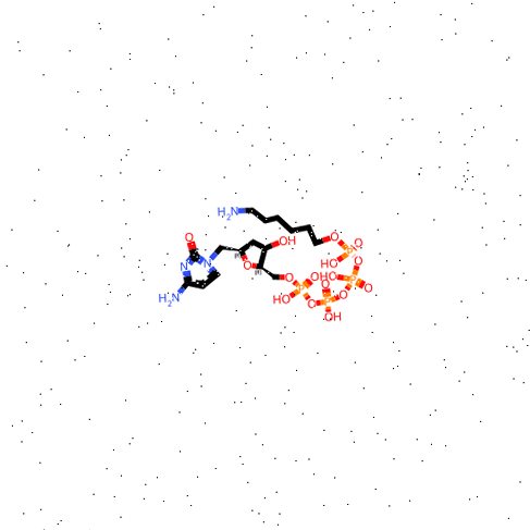 NCCCCCCOP(=O)(O)OP(=O)(O)OP(=O)(O)OP(=O)(O)OC[C@H]1O[C@@H](Cn2ccc(N)nc2=O)CC1O